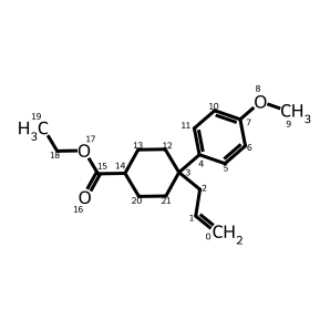 C=CCC1(c2ccc(OC)cc2)CCC(C(=O)OCC)CC1